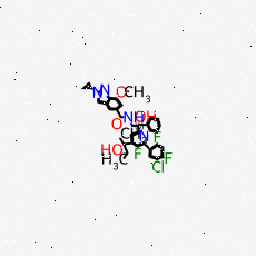 CCC(O)(CC)c1cc([C@@](O)(CNC(=O)c2cc(OC)c3nn(C4CC4)cc3c2)c2ccccc2)nc(-c2cc(Cl)c(F)cc2F)c1F